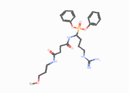 CCOCCCNC(=O)CCC(=O)NC(CCCNC(=N)N)P(=O)(Oc1ccccc1)Oc1ccccc1